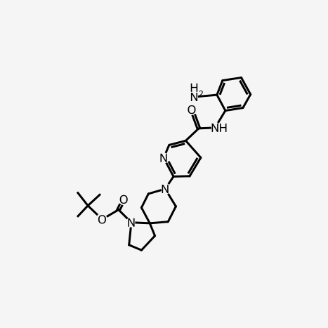 CC(C)(C)OC(=O)N1CCCC12CCN(c1ccc(C(=O)Nc3ccccc3N)cn1)CC2